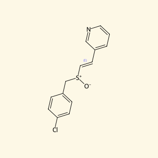 [O-][S+](/C=C/c1cccnc1)Cc1ccc(Cl)cc1